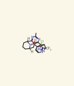 Cc1nc(-c2ccn[nH]2)c2c(n1)[C@H]1CCC[C@@H](C2)N1C(=O)c1ccnc(C(F)(F)F)c1Cl